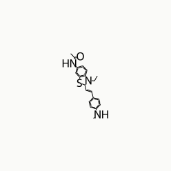 CCN1c2ccc(NC(C)=O)cc2SC1/C=C/c1ccc(NC)cc1